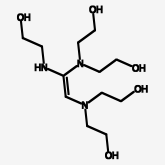 OCCNC(=CN(CCO)CCO)N(CCO)CCO